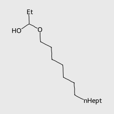 CCCCCCCCCCCCCCOC(O)CC